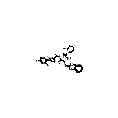 C[C@H](NC(=O)[C@H](NC(=O)N1CCCC[C@@H]1C)Nc1nc2ccccc2o1)c1ncc(-c2ccc(F)cc2F)[nH]1